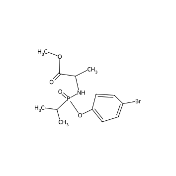 COC(=O)C(C)NP(=O)(Oc1ccc(Br)cc1)C(C)C